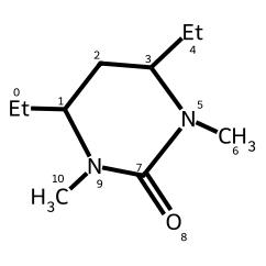 CCC1CC(CC)N(C)C(=O)N1C